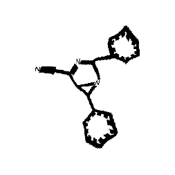 N#CC1=NC(c2ccccc2)N2C1C2c1ccccc1